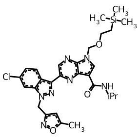 Cc1cc(Cn2nc(-c3cnc4c(n3)c(C(=O)NC(C)C)cn4COCC[Si](C)(C)C)c3ccc(Cl)cc32)no1